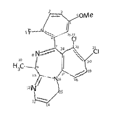 COc1ccc(F)c(C2=NC(C)C3=NC=CCN3c3ccc(Cl)c(Cl)c32)c1